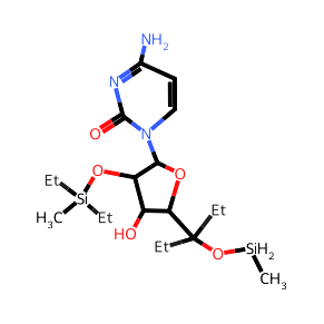 CCC(CC)(O[SiH2]C)C1OC(n2ccc(N)nc2=O)C(O[Si](C)(CC)CC)C1O